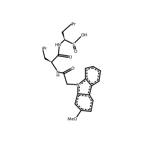 COc1ccc2c3ccccc3n(CC(=O)N[C@@H](CC(C)C)C(=O)N[C@@H](CC(C)C)S(=O)O)c2c1